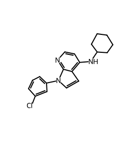 Clc1cccc(-n2ccc3c(NC4CCCCC4)ccnc32)c1